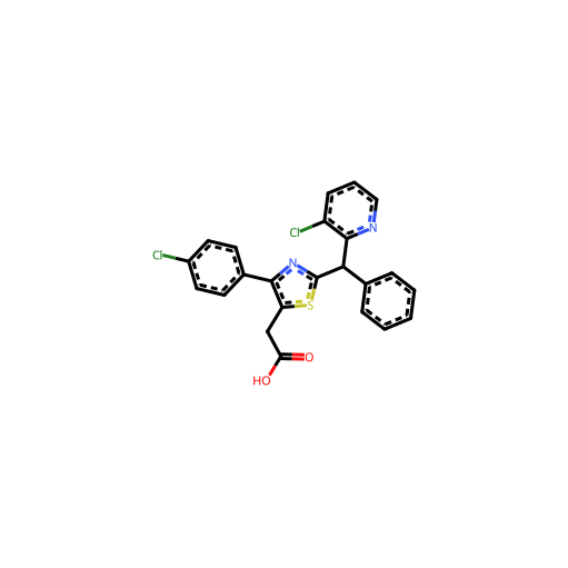 O=C(O)Cc1sc(C(c2ccccc2)c2ncccc2Cl)nc1-c1ccc(Cl)cc1